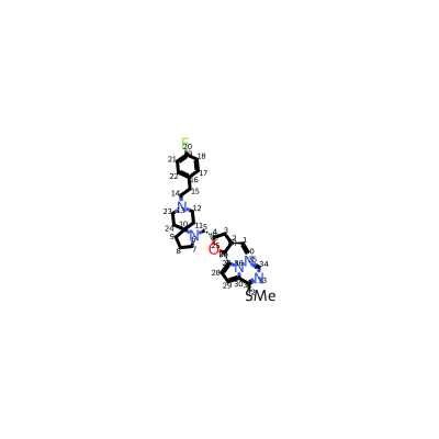 C=C[C@@H]1C[C@@H](CN2CCCC23CCN(CCc2ccc(F)cc2)CC3)O[C@H]1c1ccc2c(SC)ncnn12